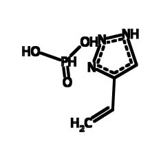 C=Cc1c[nH]nn1.O=[PH](O)O